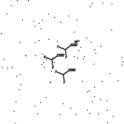 O=C([O-])C(F)F.O=C([O-])C(F)F.O=C([O-])C(F)F.[Al+3]